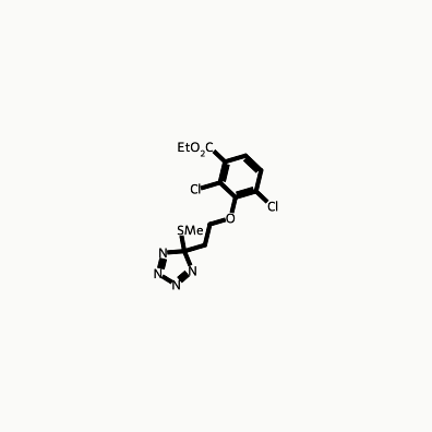 CCOC(=O)c1ccc(Cl)c(OCCC2(SC)N=NN=N2)c1Cl